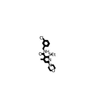 CCSc1nc(N2CCOCC2)cc(C)c1C(=O)NCc1cccc(Cl)c1